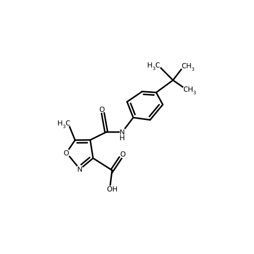 Cc1onc(C(=O)O)c1C(=O)Nc1ccc(C(C)(C)C)cc1